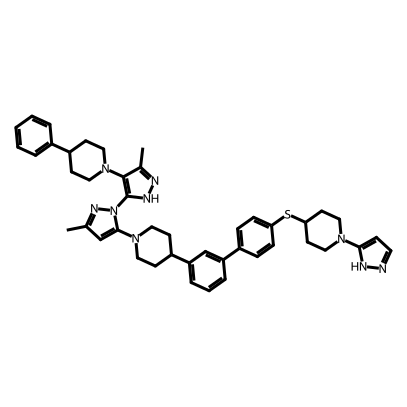 Cc1cc(N2CCC(c3cccc(-c4ccc(SC5CCN(c6ccn[nH]6)CC5)cc4)c3)CC2)n(-c2[nH]nc(C)c2N2CCC(c3ccccc3)CC2)n1